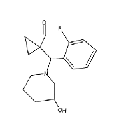 O=CC1(C(c2ccccc2F)N2CCCC(O)C2)CC1